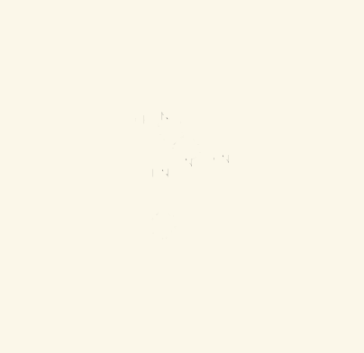 N#Cc1cc2cnc(Cl)cc2c(NCCc2ccccc2)n1